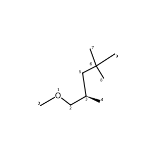 COC[C@H](C)CC(C)(C)C